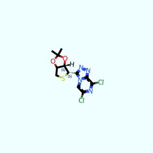 CC1(C)OC2CS[C@@H](c3nnc4c(Cl)nc(Cl)cn34)[C@H]2O1